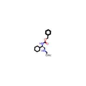 CC(=O)OCNC[C@H](NC(=O)OCc1ccccc1)C1CCCCC1